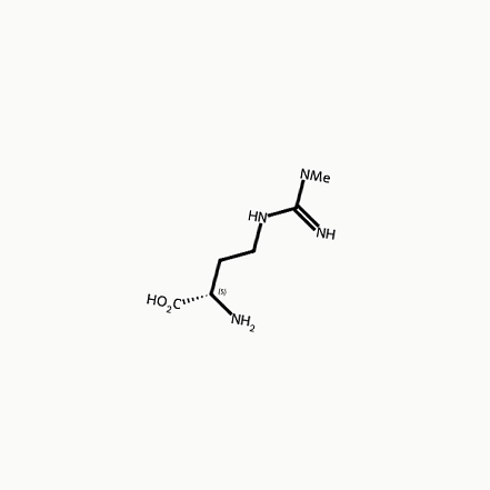 CNC(=N)NCC[C@H](N)C(=O)O